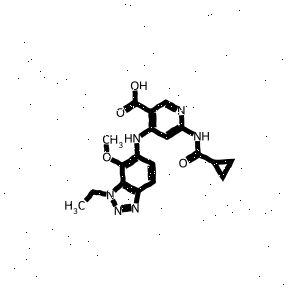 CCn1nnc2ccc(Nc3cc(NC(=O)C4CC4)ncc3C(=O)O)c(OC)c21